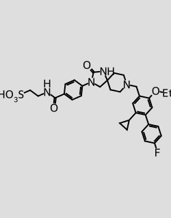 CCOc1cc(-c2ccc(F)cc2)c(C2CC2)cc1CN1CCC2(CC1)CN(c1ccc(C(=O)NCCS(=O)(=O)O)cc1)C(=O)N2